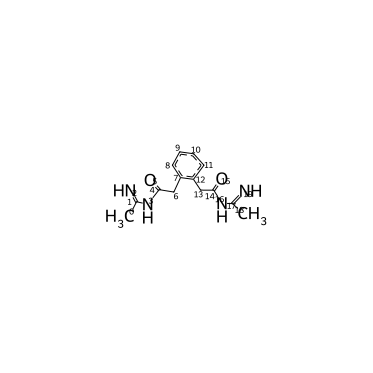 CC(=N)NC(=O)Cc1ccccc1CC(=O)NC(C)=N